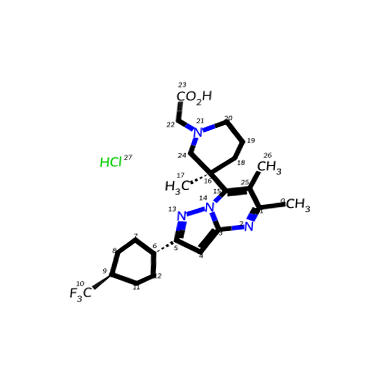 Cc1nc2cc([C@H]3CC[C@H](C(F)(F)F)CC3)nn2c([C@]2(C)CCCN(CC(=O)O)C2)c1C.Cl